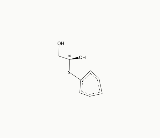 OC[C@@H](O)Sc1ccccc1